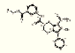 CCOC(=O)c1cccc(NC(=O)N2CCn3c(c(C(N)=O)c(Cl)c3-c3ccccc3)C2)c1